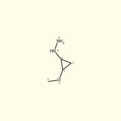 COC1CC1NN